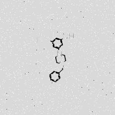 Nc1cc(N2CCN(Cc3ccccc3)CC2)cc(C(F)(F)F)c1